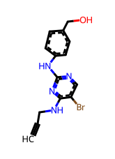 C#CCNc1nc(Nc2ccc(CO)cc2)ncc1Br